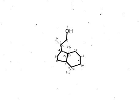 C[C@H](CO)C1CCC2[C@@H](C)CCC[C@]12C